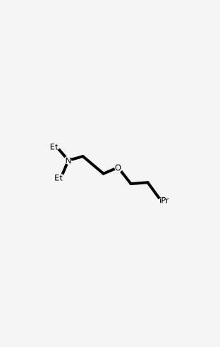 CCN(CC)CCOCCC(C)C